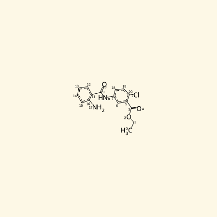 CCOC(=O)c1cc(NC(=O)c2ccccc2N)ccc1Cl